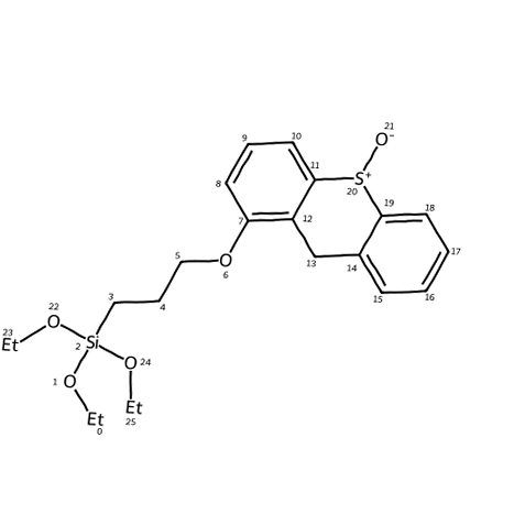 CCO[Si](CCCOc1cccc2c1Cc1ccccc1[S+]2[O-])(OCC)OCC